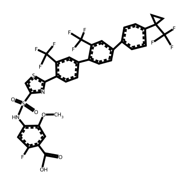 COc1cc(C(=O)O)c(F)cc1NS(=O)(=O)c1csc(-c2ccc(-c3ccc(-c4ccc(C5(C(F)(F)F)CC5)cc4)cc3C(F)(F)F)cc2C(F)(F)F)n1